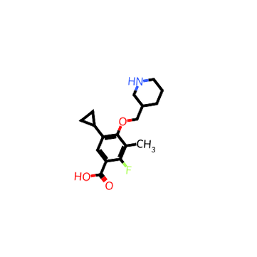 Cc1c(F)c(C(=O)O)cc(C2CC2)c1OCC1CCCNC1